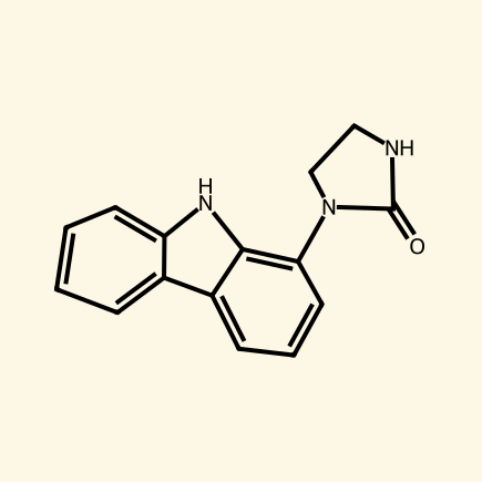 O=C1NCCN1c1cccc2c1[nH]c1ccccc12